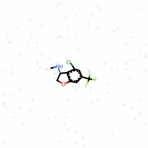 CN[C@@H]1COc2cc(C(F)(F)F)cc(Cl)c21